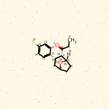 CCC(=O)[C@@H]1[C@@H]2CCC(C[C@@H]1c1ccc(F)cc1)O2